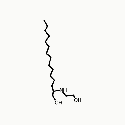 CCCCCCCCCCCCCC(CO)NCCO